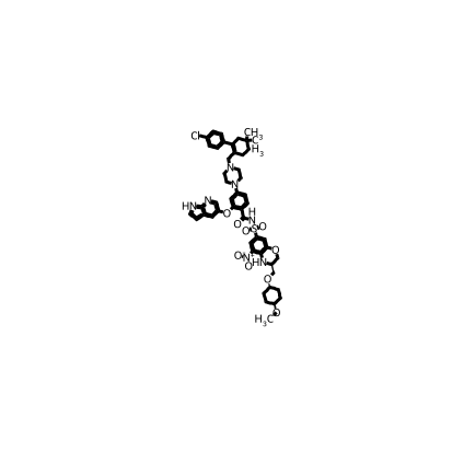 CO[C@H]1CC[C@H](OC[C@@H]2COc3cc(S(=O)(=O)NC(=O)c4ccc(N5CCN(CC6=C(c7ccc(Cl)cc7)CC(C)(C)CC6)CC5)cc4Oc4cnc5[nH]ccc5c4)cc([N+](=O)[O-])c3N2)CC1